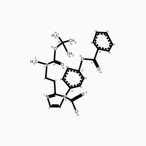 CN(CCC1=NC=C[N+]1(C([O-])=S)c1ccc(OC(=O)c2ccccc2)cc1)C(=O)OC(C)(C)C